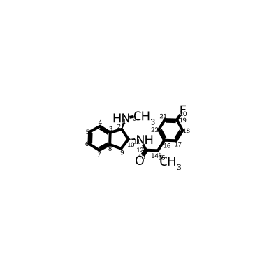 CN[C@@H]1c2ccccc2C[C@H]1NC(=O)[C@@H](C)c1ccc(F)cc1